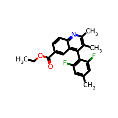 CCOC(=O)c1ccc2nc(C)c(C)c(-c3c(F)cc(C)cc3F)c2c1